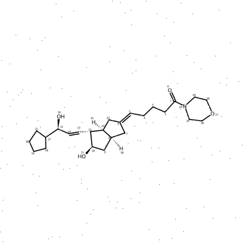 O=C(CCCC=C1C[C@H]2C[C@@H](O)[C@H](/C=C/[C@H](O)C3CCCC3)[C@H]2C1)N1CCOCC1